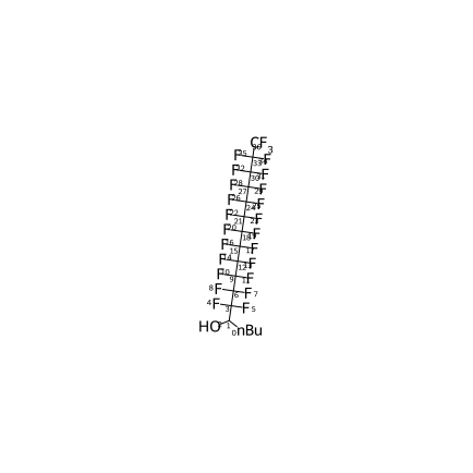 CCCCC(O)C(F)(F)C(F)(F)C(F)(F)C(F)(F)C(F)(F)C(F)(F)C(F)(F)C(F)(F)C(F)(F)C(F)(F)C(F)(F)C(F)(F)F